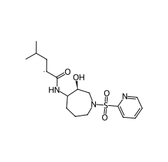 CC(C)C[CH]C(=O)NC1CCCN(S(=O)(=O)c2ccccn2)C[C@@H]1O